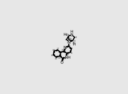 O=c1[nH]c2ccc(N3C[C@@H]4C[C@H]3CN4)nc2c2ccccc12